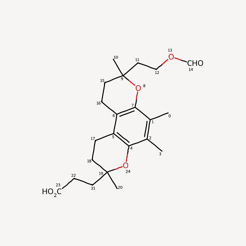 Cc1c(C)c2c(c3c1OC(C)(CCOC=O)CC3)CCC(C)(CCC(=O)O)O2